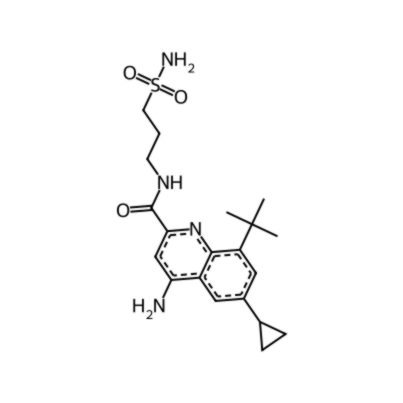 CC(C)(C)c1cc(C2CC2)cc2c(N)cc(C(=O)NCCCS(N)(=O)=O)nc12